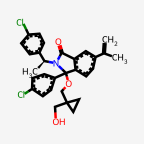 C=C(C)c1ccc2c(c1)C(=O)N([C@@H](C)c1ccc(Cl)cc1)C2(OCC1(CO)CC1)c1ccc(Cl)cc1